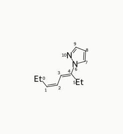 CC/C=C\C=C(/CC)n1cccn1